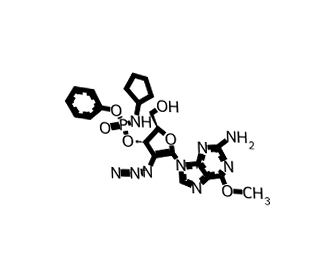 COc1nc(N)nc2c1ncn2C1=C(N=[N+]=[N-])[C@H](OP(=O)(NC2CCCC2)Oc2ccccc2)[C@@H](CO)O1